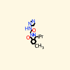 Cc1ccc2c(=O)n(CC(=O)Nc3ccncn3)nc(C(C)C)c2c1